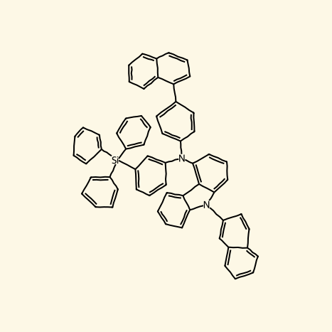 c1ccc([Si](c2ccccc2)(c2ccccc2)c2cccc(N(c3ccc(-c4cccc5ccccc45)cc3)c3cccc4c3c3ccccc3n4-c3ccc4ccccc4c3)c2)cc1